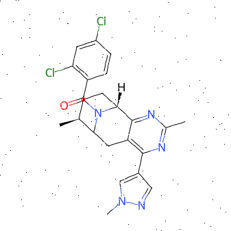 Cc1nc(-c2cnn(C)c2)c2c(n1)[C@H]1CC[C@H](C)C(C2)N1C(=O)c1ccc(Cl)cc1Cl